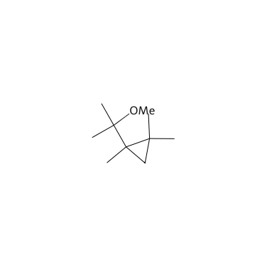 COC(C)(C)C1(C)CC1(C)C